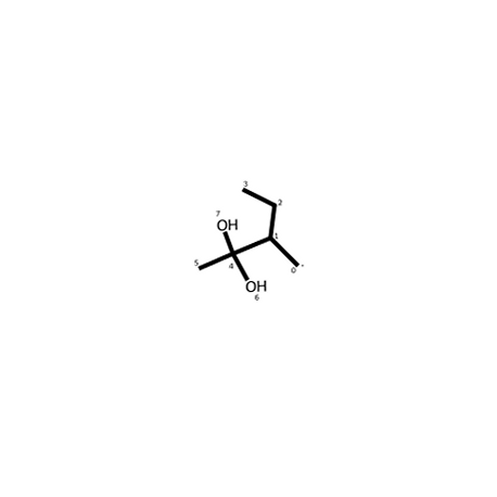 [CH2]C(CC)C(C)(O)O